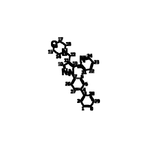 c1ccc(-c2ccc(-n3ncc(CN4CCOCC4)c3-c3ccccn3)cc2)cc1